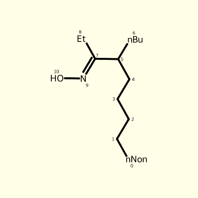 CCCCCCCCCCCCCC(CCCC)C(CC)=NO